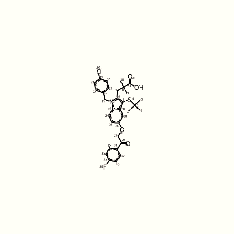 CC(C)(C)Sc1c(CC(C)(C)C(=O)O)n(Cc2ccc(Cl)cc2)c2ccc(OCC(=O)c3ccc(F)cc3)cc12